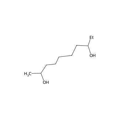 CCC(O)CCCCCC(C)O